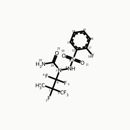 CC(F)(C(F)(F)F)C(F)(F)N(NS(=O)(=O)c1ccccc1F)C(N)=O